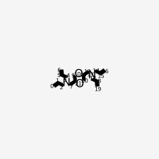 C=CCN(CC=C)CC1COC(CN(CC=C)CC=C)CO1